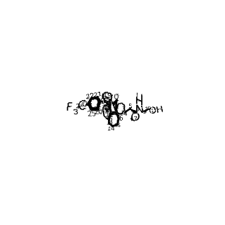 CN(C1(OCCC(=O)NCCO)CCCCC1)S(=O)(=O)c1ccc(C(F)(F)F)cc1